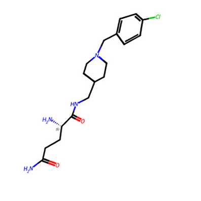 NC(=O)CC[C@H](N)C(=O)NCC1CCN(Cc2ccc(Cl)cc2)CC1